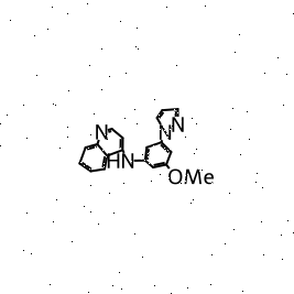 COc1cc(Nc2ccnc3ccccc23)cc(-n2cccn2)c1